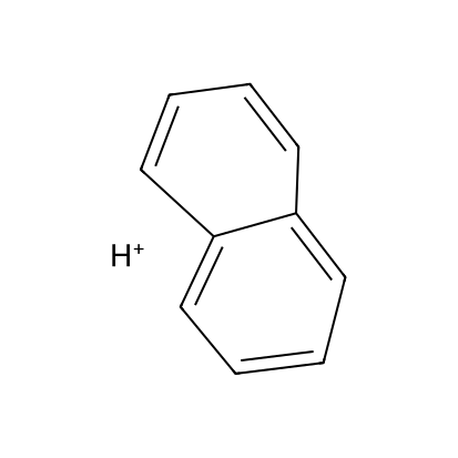 [H+].c1ccc2ccccc2c1